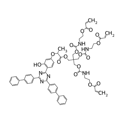 C=CC(=O)OCCNC(=O)OCC(COC(=O)NCCOC(=O)C=C)(COC(=O)NCCOC(=O)C=C)COC(=O)C(C)Oc1ccc(-c2nc(-c3ccc(-c4ccccc4)cc3)nc(-c3ccc(-c4ccccc4)cc3)n2)c(O)c1